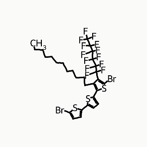 CCCCCCCCCCCCc1c(-c2ccc(-c3ccc(Br)s3)s2)sc(Br)c1C(F)(F)C(F)(F)C(F)(F)C(F)(F)C(F)(F)C(F)(F)F